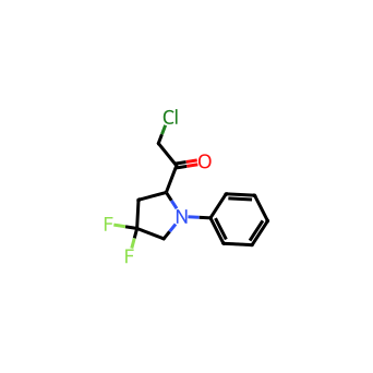 O=C(CCl)C1CC(F)(F)CN1c1ccccc1